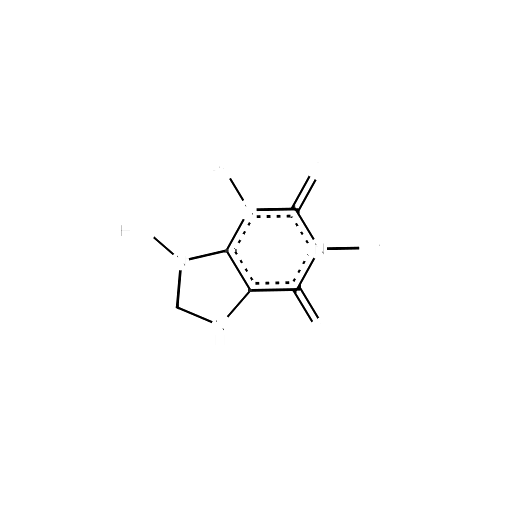 CCCn1c2c(c(=O)n(CCC)c1=O)NCN2C